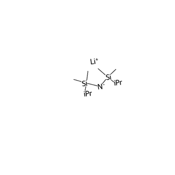 CC(C)[Si](C)(C)[N-][Si](C)(C)C(C)C.[Li+]